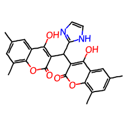 Cc1cc(C)c2oc(=O)c(C(c3ncc[nH]3)c3c(O)c4cc(C)cc(C)c4oc3=O)c(O)c2c1